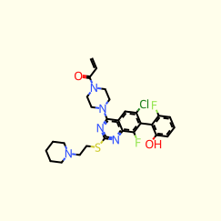 C=CC(=O)N1CCN(c2nc(SCCN3CCCCC3)nc3c(F)c(-c4c(O)cccc4F)c(Cl)cc23)CC1